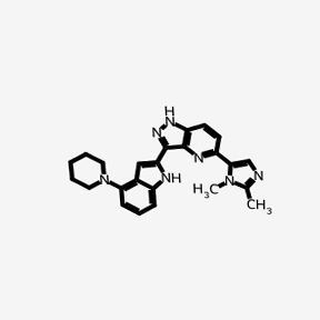 Cc1ncc(-c2ccc3[nH]nc(-c4cc5c(N6CCCCC6)cccc5[nH]4)c3n2)n1C